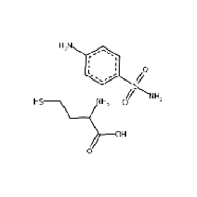 NC(CCS)C(=O)O.Nc1ccc(S(N)(=O)=O)cc1